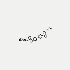 CCCCCCCCCCCC(=O)Oc1ccc(-c2ccc(C(=O)OCCC(C)C)cc2)cc1